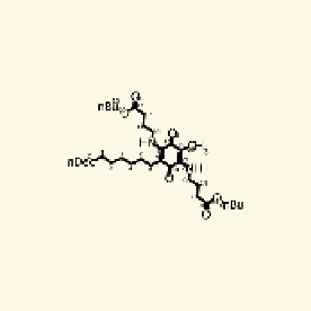 CCCCCCCCCCCCCCCCC1=C(NCCCC(=O)OCCCC)C(=O)C(C)=C(NCCCC(=O)OCCCC)C1=O